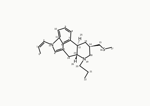 C/C=C\n1cc2c3c(cccc31)[C@H]1C[C@@H](CSC)CN(CCC)[C@@H]1C2